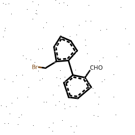 O=Cc1ccccc1-c1ccccc1CBr